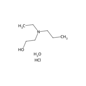 CCCN(CC)CCO.Cl.O